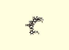 Cc1ccccc1CN1CCC(O)(OC(=O)Nc2ccc(C(C)(C)C)cc2)CC1